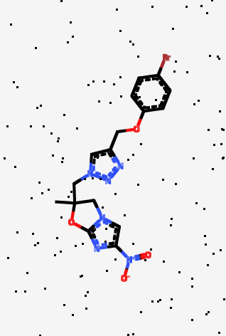 CC1(Cn2cc(COc3ccc(Br)cc3)nn2)Cn2cc([N+](=O)[O-])nc2O1